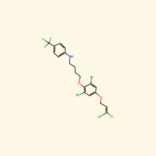 FC(F)(F)c1ccc(NCCCCOc2c(Br)cc(OCC=C(Cl)Cl)cc2Br)cc1